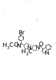 CCON=C(c1ccc(Br)cc1)C1CCN(C2(C)CCN(C(=O)c3ccnc4ccccc34)CC2)CC1